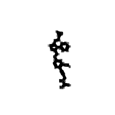 CCC(=O)NCC#Cc1ccc(OCc2nnc(SCC3CO3)n2-c2cccnc2)cc1C